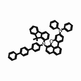 CC1(C)c2ccccc2-c2cccc(N(c3ccc(-c4ccc(-c5ccccc5)cc4)cc3)c3ccc4cccc5c4c3Oc3cc(N(c4ccccc4)c4ccccc4)ccc3-5)c21